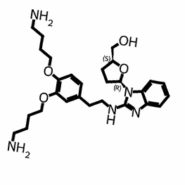 NCCCCOc1ccc(CCNc2nc3ccccc3n2[C@H]2CC[C@@H](CO)O2)cc1OCCCCN